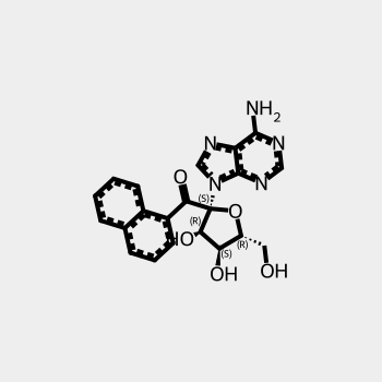 Nc1ncnc2c1ncn2[C@]1(C(=O)c2cccc3ccccc23)O[C@H](CO)[C@@H](O)[C@H]1O